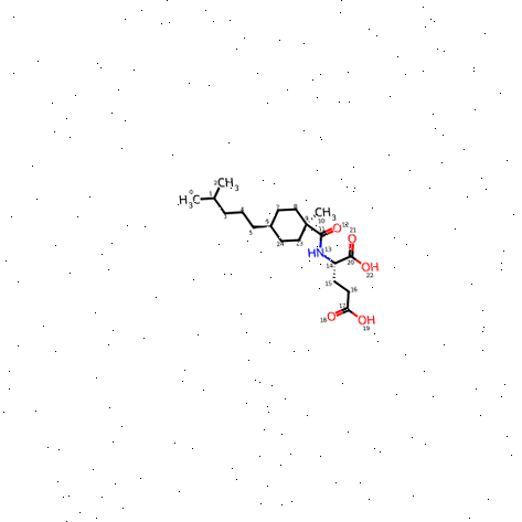 CC(C)CCC[C@H]1CC[C@@](C)(C(=O)N[C@@H](CCC(=O)O)C(=O)O)CC1